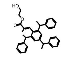 CC(=Cc1c(C(C)c2ccccc2)cc(C(C)c2ccccc2)cc1C(C)c1ccccc1)C(=O)OCCO